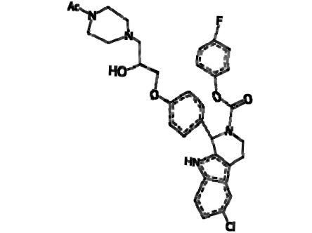 CC(=O)N1CCN(CC(O)COc2ccc(C3c4[nH]c5ccc(Cl)cc5c4CCN3C(=O)Oc3ccc(F)cc3)cc2)CC1